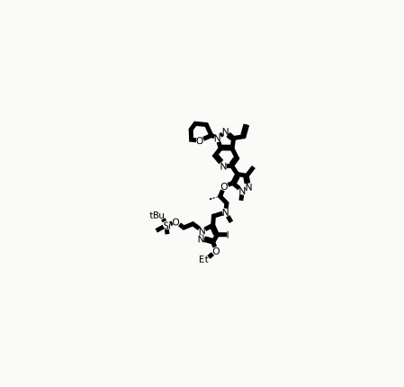 C=Cc1nn(C2CCCCO2)c2cnc(-c3c(C)nn(C)c3O[C@@H](C)CN(C)Cc3c(I)c(OCC)nn3CCO[Si](C)(C)C(C)(C)C)cc12